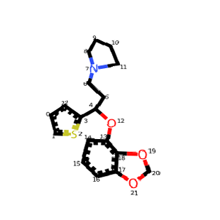 c1csc(C(CCN2CCCC2)Oc2cccc3c2OCO3)c1